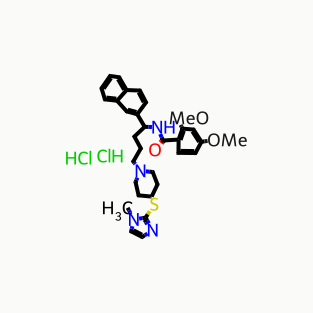 COc1ccc(C(=O)NC(CCCN2CCC(Sc3nccn3C)CC2)c2ccc3ccccc3c2)c(OC)c1.Cl.Cl